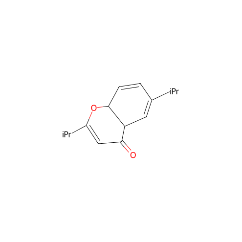 CC(C)C1=CC2C(=O)C=C(C(C)C)OC2C=C1